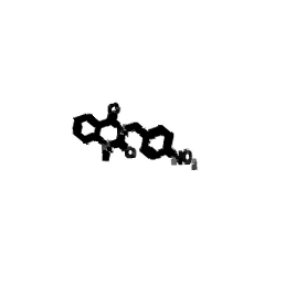 Cn1c(=O)n(Cc2ccc([N+](=O)[O-])cc2)c(=O)c2ccccc21